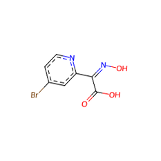 O=C(O)C(=NO)c1cc(Br)ccn1